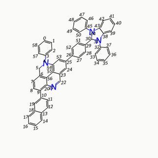 c1ccc(N2Cc3ccc(-c4ccc5ccccc5c4)c4ncc5cc(-c6ccc(C7N(c8ccccc8)c8ccccc8N7c7ccccc7)cc6)cc2c5c34)cc1